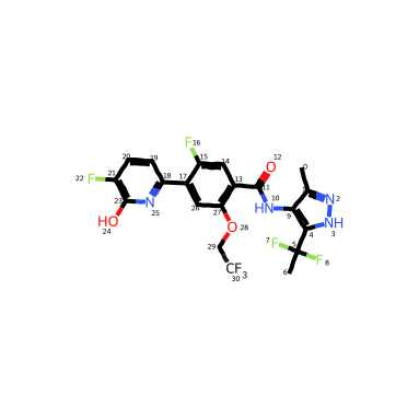 Cc1n[nH]c(C(C)(F)F)c1NC(=O)c1cc(F)c(-c2ccc(F)c(O)n2)cc1OCC(F)(F)F